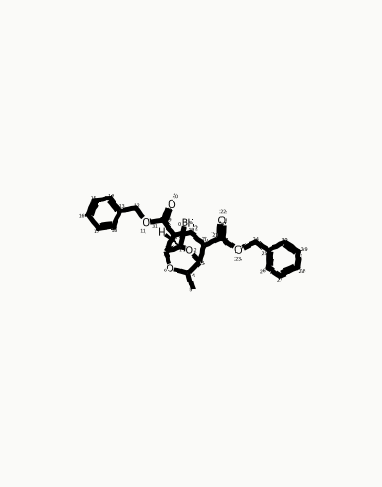 B[C@@H]1OC2C(C)OC1C(C(=O)OCc1ccccc1)CC2C(=O)OCc1ccccc1